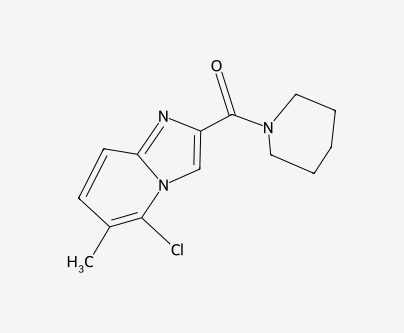 Cc1ccc2nc(C(=O)N3CCCCC3)cn2c1Cl